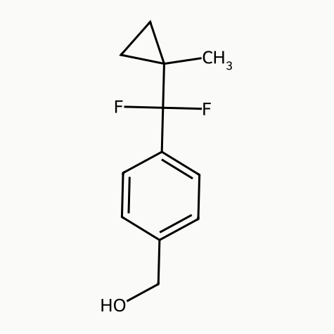 CC1(C(F)(F)c2ccc(CO)cc2)CC1